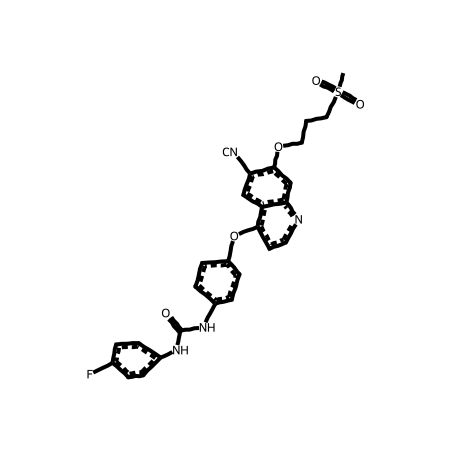 [C-]#[N+]c1cc2c(Oc3ccc(NC(=O)Nc4ccc(F)cc4)cc3)ccnc2cc1OCCCS(C)(=O)=O